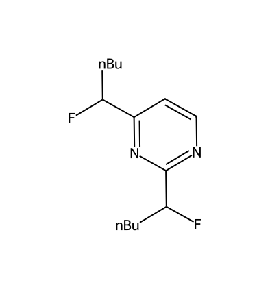 CCCCC(F)c1ccnc(C(F)CCCC)n1